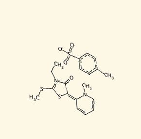 CC[N+]1=C(SC)SC(=C2C=CC=CN2C)C1=O.Cc1ccc(S(=O)(=O)[O-])cc1